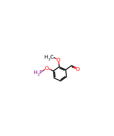 COc1c(C=O)cccc1OP